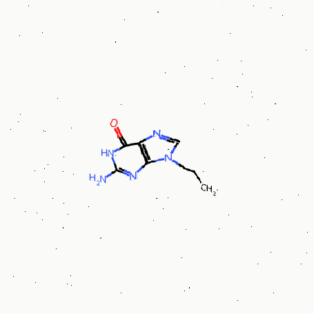 [CH2]CCn1cnc2c(=O)[nH]c(N)nc21